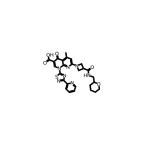 Cc1cc(N2CC(C(=O)NCC3CCCCO3)C2)nc2c1c(=O)c(C(=O)O)cn2-c1nc(-c2ccccn2)ns1